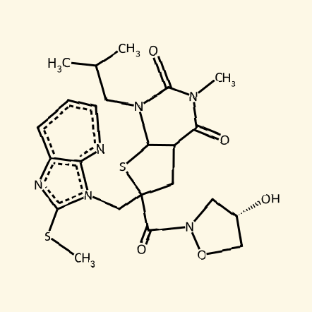 CSc1nc2cccnc2n1CC1(C(=O)N2C[C@H](O)CO2)CC2C(=O)N(C)C(=O)N(CC(C)C)C2S1